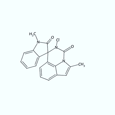 Cc1cc2cccc3c2n1C(=O)N(Cl)C31C(=O)N(C)c2ccccc21